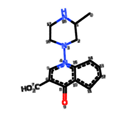 CC1CN(n2cc(C(=O)O)c(=O)c3ccccc32)CCN1